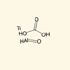 O=C(O)O.[O]=[AlH].[Ti]